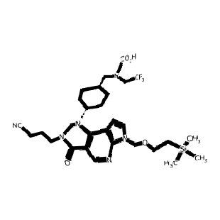 C[Si](C)(C)CCOCn1ccc2c3c(cnc21)C(=O)N(CCCC#N)CN3[C@H]1CC[C@H](CN(CC(F)(F)F)C(=O)O)CC1